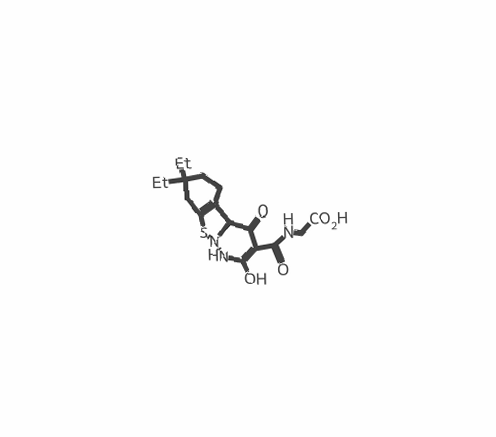 CCC1(CC)CCC2=C(C1)SN1NC(O)=C(C(=O)NCC(=O)O)C(=O)C21